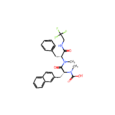 CN(C(=O)O)[C@H](Cc1ccc2ccccc2c1)C(=O)N(C)[C@H](Cc1ccccc1)C(=O)NCC(F)(F)F